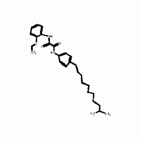 CCOc1ccccc1NC(=O)C(=O)Nc1ccc(CCCCCCCCCC(C)C)cc1